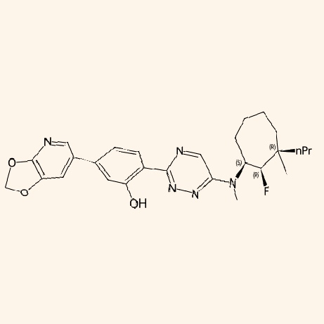 CCC[C@]1(C)CCCC[C@H](N(C)c2cnc(-c3ccc(-c4cnc5c(c4)OCO5)cc3O)nn2)[C@@H]1F